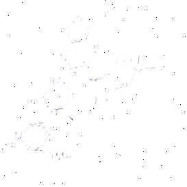 C=C/C=C(\C=C\N1C(N2CCN(c3cncc(OC)c3)[C@H](C)C2)=Nc2ccsc2[C@@H]1CC(=O)O)C(F)(F)F